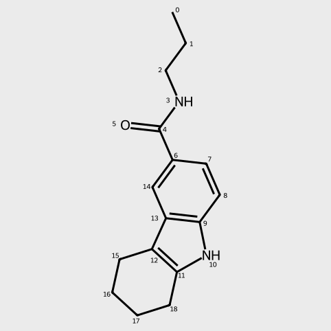 CCCNC(=O)c1ccc2[nH]c3c(c2c1)CCCC3